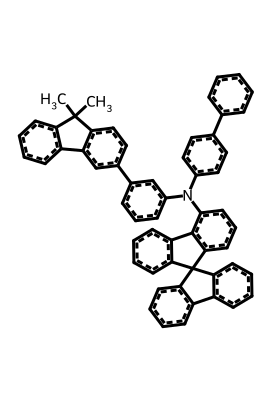 CC1(C)c2ccccc2-c2cc(-c3cccc(N(c4ccc(-c5ccccc5)cc4)c4cccc5c4-c4ccccc4C54c5ccccc5-c5ccccc54)c3)ccc21